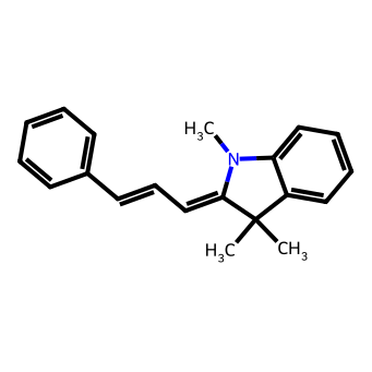 CN1C(=CC=Cc2ccccc2)C(C)(C)c2ccccc21